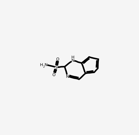 NS(=O)(=O)C1N=Cc2ccccc2N1